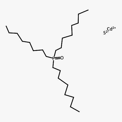 CCCCCCCCP(=O)(CCCCCCCC)CCCCCCCC.[Cd+2].[S-2]